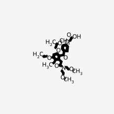 C=CCOc1cc(OCC=C)c(C(=O)c2ccc(OCC(=O)O)c(OC)c2)c(CC(=O)N(CCOC)CCOC)c1CC